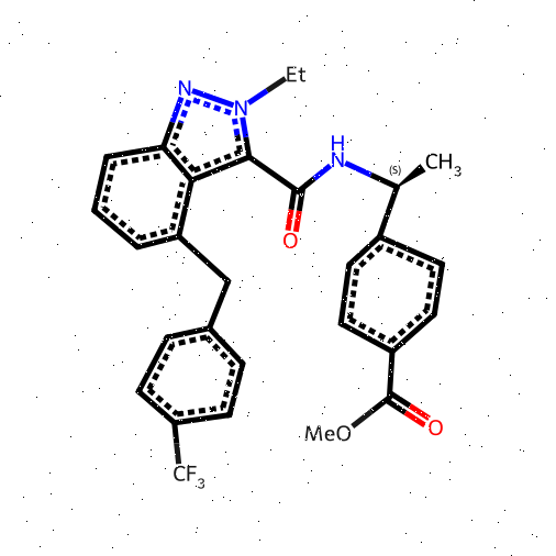 CCn1nc2cccc(Cc3ccc(C(F)(F)F)cc3)c2c1C(=O)N[C@@H](C)c1ccc(C(=O)OC)cc1